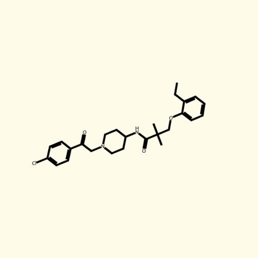 CCc1ccccc1OCC(C)(C)C(=O)NC1CCN(CC(=O)c2ccc(Cl)cc2)CC1